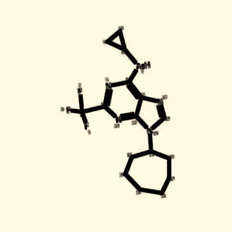 FC(F)(F)c1nc([AsH]C2CC2)c2ncn(C3CCCCCC3)c2n1